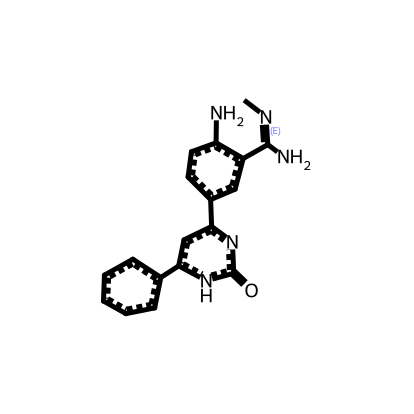 C/N=C(/N)c1cc(-c2cc(-c3ccccc3)[nH]c(=O)n2)ccc1N